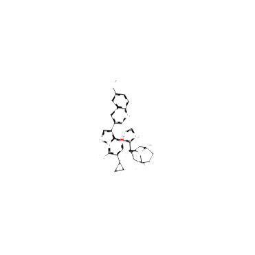 COc1ccc2ncc(-c3cnn4c(N)c(C5CC5)c([C@@H]5C[C@H]6CC[C@@H](C5)N6C(=O)c5nnc[nH]5)nc34)cc2c1